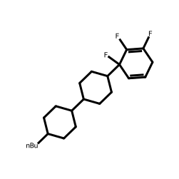 CCCCC1CCC(C2CCC(C3(F)C=CCC(F)=C3F)CC2)CC1